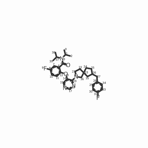 CC(C)N(C(=O)c1cc(F)ccc1Oc1cncnc1N1CCC2(CCC(Cc3ccc(F)cc3)C2)C1)C(C)C